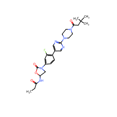 CCC(=O)NC1CN(c2ccc(-c3cnc(N4CCN(C(=O)CC(C)(C)C)CC4)nc3)c(F)c2)C(=O)O1